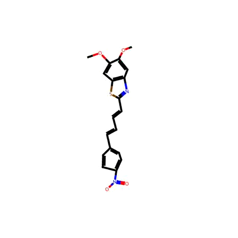 COc1cc2nc(/C=C/C=C/c3ccc([N+](=O)[O-])cc3)sc2cc1OC